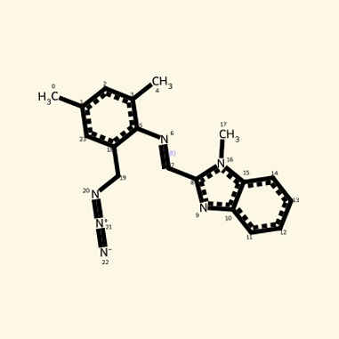 Cc1cc(C)c(/N=C/c2nc3ccccc3n2C)c(CN=[N+]=[N-])c1